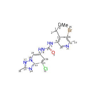 COC(C)c1c(NC(=O)Nc2cc(Cl)c3nc(C)nn3c2)cnc(C)c1Br